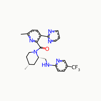 Cc1ccc(-c2ncccn2)c(C(=O)N2CC[C@@H](C)C[C@H]2CNc2ccc(C(F)(F)F)cn2)n1